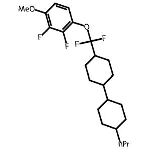 CCCC1CCC(C2CCC(C(F)(F)Oc3ccc(OC)c(F)c3F)CC2)CC1